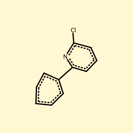 Clc1[c]ccc(-c2ccccc2)n1